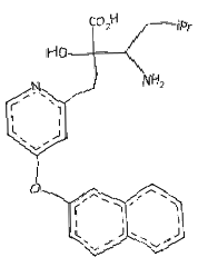 CC(C)CC(N)C(O)(Cc1cc(Oc2ccc3ccccc3c2)ccn1)C(=O)O